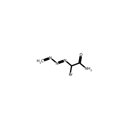 C=NN=NC(Br)C(N)=O